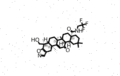 CC1(C)CC[C@]2(C(=O)NCC(F)(F)F)CC[C@]3(C)[C@H](C(=O)C=C4[C@@]5(C)Cc6cnoc6[C@@](C)(CO)[C@@H]5CC[C@]43C)[C@@H]2C1